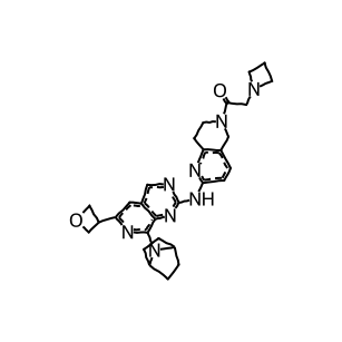 O=C(CN1CCC1)N1CCc2nc(Nc3ncc4cc(C5COC5)nc(N5C6CCC5CC6)c4n3)ccc2C1